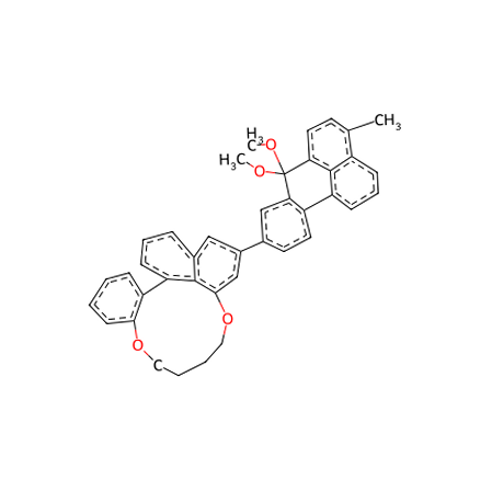 COC1(OC)c2cc(-c3cc4c5c(cccc5c3)-c3ccccc3OCCCCO4)ccc2-c2cccc3c(C)ccc1c23